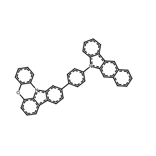 c1ccc2c(c1)Oc1cccc3c4ccc(-c5ccc(-n6c7ccccc7c7cc8ccccc8cc76)cc5)cc4n-2c13